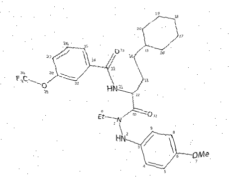 CCN(Nc1ccc(OC)cc1)C(=O)C(CCC1CCCCC1)NC(=O)c1cccc(OC(F)(F)F)c1